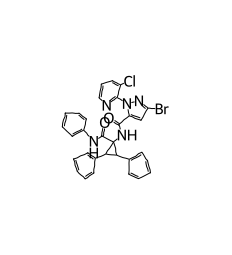 O=C(NC1(C(=O)Nc2ccccc2)C(c2ccccc2)C1c1ccccc1)c1cc(Br)nn1-c1ncccc1Cl